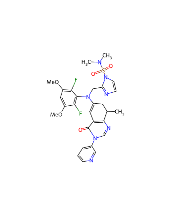 COc1cc(OC)c(F)c(N(Cc2nccn2S(=O)(=O)N(C)C)C2=Cc3c(ncn(-c4cccnc4)c3=O)C(C)C2)c1F